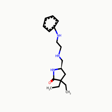 CCC1(CC)C[C@H](CNCCNc2ccccc2)NC1=O